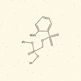 CSc1ccccc1S(=O)(=O)OCP(=O)(OC(C)C)OC(C)C